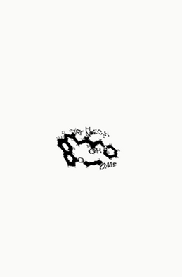 COCCOc1cccc2ccc(CC(CC(NC(=O)O)C(O)CN3CCCCC3)C(C)C)cc12